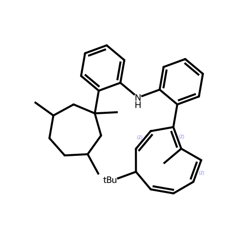 CC1=C(c2ccccc2Nc2ccccc2C2(C)CC(C)CCC(C)C2)\C=C/C(C(C)(C)C)C=C/C=C\1